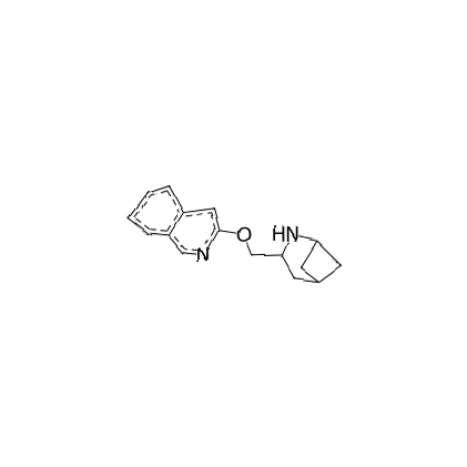 c1ccc2cc(OCC3CC4CC(C4)N3)ncc2c1